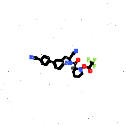 N#Cc1ccc(-c2cccc(C[C@@H](C#N)NC(=O)[C@@H]3CCCCN3OC(=O)C(F)(F)F)c2)cc1